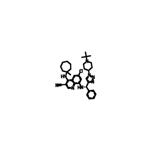 CC1(Nc2c(C#N)cnc3c(N[C@@H](c4ccccc4)c4cn(C5CCN(C(C)(C)C)CC5)nn4)cc(Cl)cc23)CCCCCC1